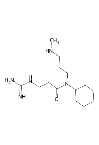 CNCCCN(C(=O)CCNC(=N)N)C1CCCCC1